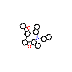 c1ccc2cc(N(c3ccc4ccccc4c3)c3cc4c(oc5cccc(-c6ccc7oc8ccccc8c7c6)c54)c4ccccc34)ccc2c1